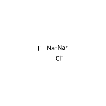 [Cl-].[I-].[Na+].[Na+]